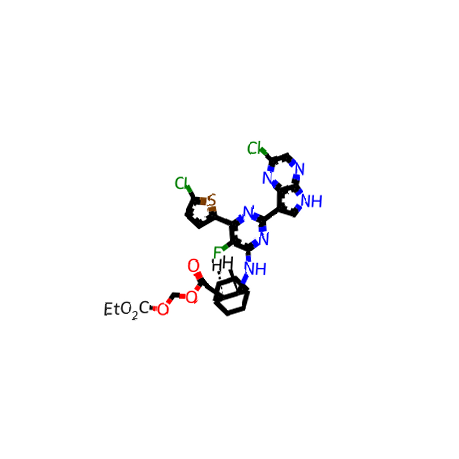 CCOC(=O)OCOC(=O)[C@@H]1C2CCC(CC2)[C@H]1Nc1nc(-c2c[nH]c3ncc(Cl)nc23)nc(-c2ccc(Cl)s2)c1F